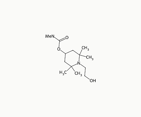 CNC(=O)OC1CC(C)(C)N(CCO)C(C)(C)C1